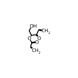 C=CC(=O)OC(CO)C(=O)C=C